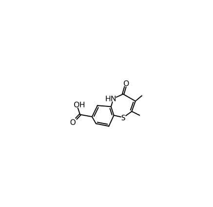 CC1=C(C)C(=O)Nc2cc(C(=O)O)ccc2S1